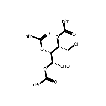 CCCC(=O)O[C@@H]([C@H](C=O)OC(=O)CCC)[C@@H](CO)OC(=O)CCC